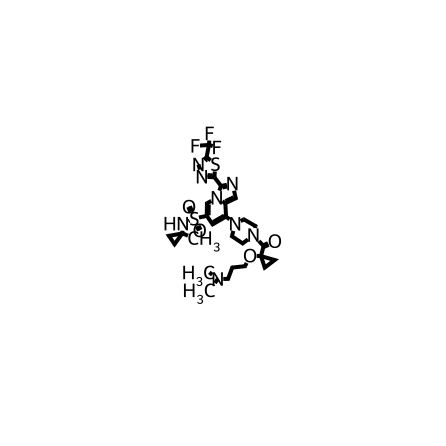 CN(C)CCCOC1(C(=O)N2CCN(c3cc(S(=O)(=O)NC4(C)CC4)cn4c(-c5nnc(C(F)(F)F)s5)ncc34)CC2)CC1